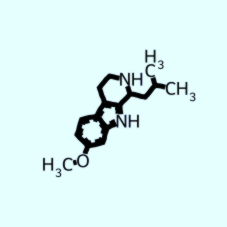 COc1ccc2c3c([nH]c2c1)C(CC(C)C)NCC3